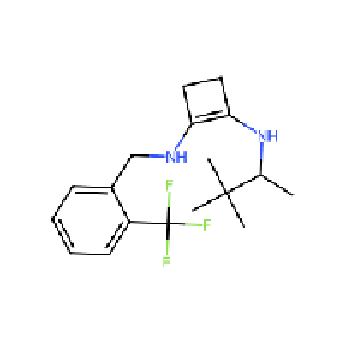 CC(NC1=C(NCc2ccccc2C(F)(F)F)CC1)C(C)(C)C